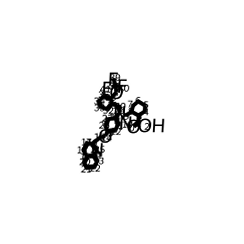 O=C(O)C1CCCCC1c1nc2cc(OCc3ccc4ccccc4n3)ccc2n1Cc1ccccc1OC(F)(F)F